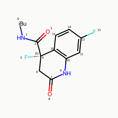 CCC(C)NC(=O)[C@]1(F)CC(=O)Nc2cc(F)ccc21